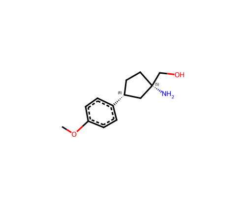 COc1ccc([C@@H]2CC[C@@](N)(CO)C2)cc1